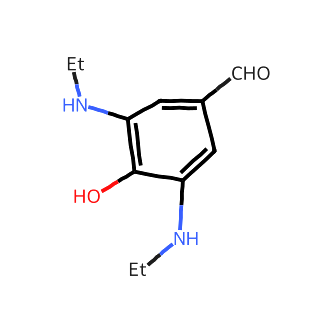 CCNc1cc(C=O)cc(NCC)c1O